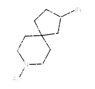 CC(=O)N1CCC2(CCC(C(C)C)C2)CC1